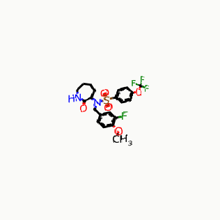 COc1ccc(CN(C2CCCCNC2=O)S(=O)(=O)c2ccc(OC(F)(F)F)cc2)cc1F